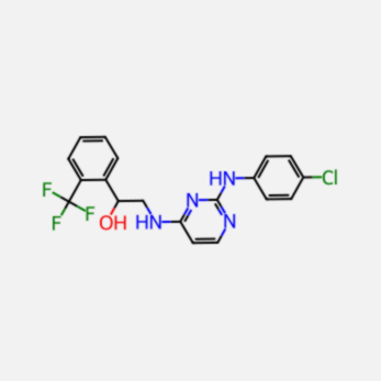 OC(CNc1ccnc(Nc2ccc(Cl)cc2)n1)c1ccccc1C(F)(F)F